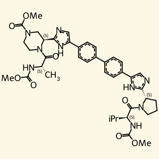 COC(=O)N[C@@H](C)C(=O)N1CCN(C(=O)OC)C[C@H]1c1ncc(-c2ccc(-c3ccc(-c4cnc([C@@H]5CCCN5C(=O)[C@@H](NC(=O)OC)C(C)C)[nH]4)cc3)cc2)[nH]1